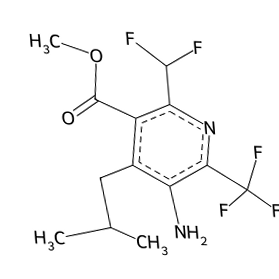 COC(=O)c1c(C(F)F)nc(C(F)(F)F)c(N)c1CC(C)C